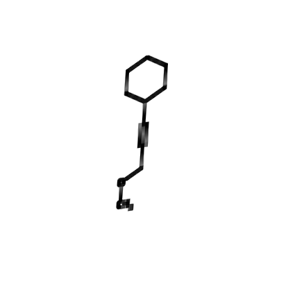 COCC#CC1CCCCC1